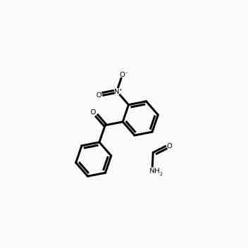 NC=O.O=C(c1ccccc1)c1ccccc1[N+](=O)[O-]